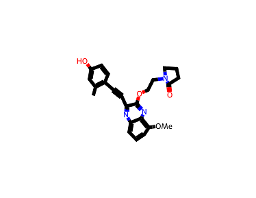 COc1cccc2nc(C#Cc3ccc(O)cc3C)c(OCCN3CCCC3=O)nc12